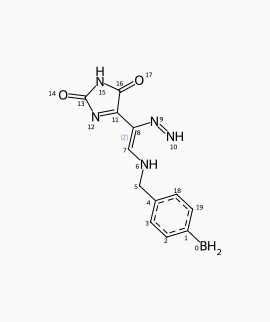 Bc1ccc(CN/C=C(\N=N)C2=NC(=O)NC2=O)cc1